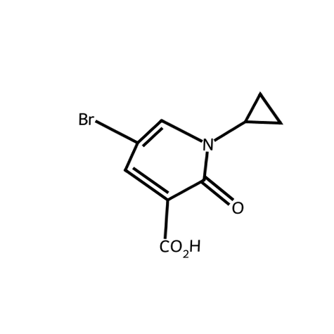 O=C(O)c1cc(Br)cn(C2CC2)c1=O